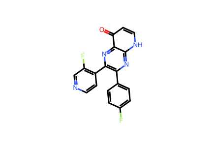 O=c1cc[nH]c2nc(-c3ccc(F)cc3)c(-c3ccncc3F)nc12